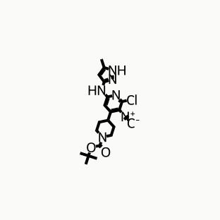 [C-]#[N+]c1c(C2CCN(C(=O)OC(C)(C)C)CC2)cc(Nc2cc(C)[nH]n2)nc1Cl